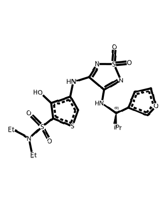 CCN(CC)S(=O)(=O)c1scc(NC2=NS(=O)(=O)N=C2N[C@@H](c2ccoc2)C(C)C)c1O